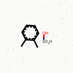 Cc1ccccc1C.O=S(=O)(O)O